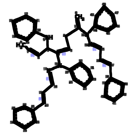 C=C(C/C=C(\C(/C=C\C)Nc1ccccc1)N(/N=C/C=C/c1ccccc1)c1ccccc1)N(/N=C/C=C/c1ccccc1)c1ccccc1